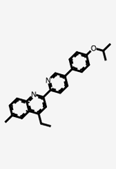 CCc1cc(-c2ccc(-c3ccc(OC(C)C)cc3)cn2)nc2ccc(C)cc12